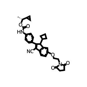 C[C@@H](OC(=O)Nc1ccc(C2=C(C#N)c3ccc(OCCN4C(=O)CCC4=O)cc3C2C2CCC2)cc1)C1CC1